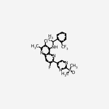 Cc1nc2cc(F)c(-c3cnc(P(C)(C)=O)nc3)nc2c(NC(C)c2ccccc2C(F)(F)F)c1Cl